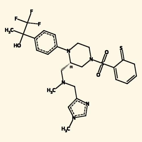 CN(Cc1cn(C)cn1)C[C@H]1CN(S(=O)(=O)C2=CC=CCC2=S)CCN1c1ccc(C(C)(O)C(F)(F)F)cc1